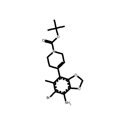 Cc1c(Br)c(N)c2c(c1C1=CCN(C(=O)OC(C)(C)C)CC1)OCO2